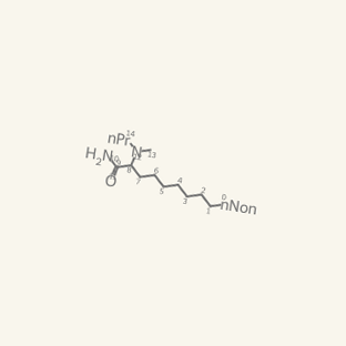 CCCCCCCCCCCCCCCCC(C(N)=O)N(C)CCC